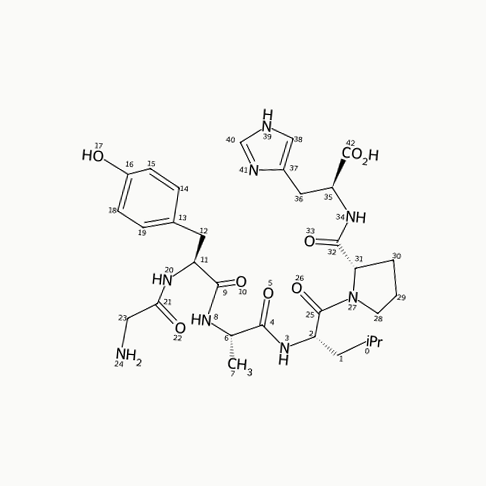 CC(C)C[C@H](NC(=O)[C@H](C)NC(=O)[C@H](Cc1ccc(O)cc1)NC(=O)CN)C(=O)N1CCC[C@H]1C(=O)N[C@@H](Cc1c[nH]cn1)C(=O)O